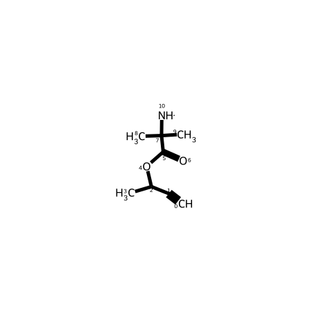 C#CC(C)OC(=O)C(C)(C)[NH]